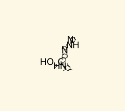 Cc1cc(C)c(NC(Cc2ccc(N3CCC(CNc4ccccn4)C3)cc2)C(=O)O)c(C)c1